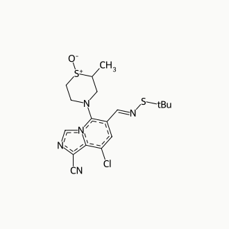 CC1CN(c2c(/C=N/SC(C)(C)C)cc(Cl)c3c(C#N)ncn23)CC[S+]1[O-]